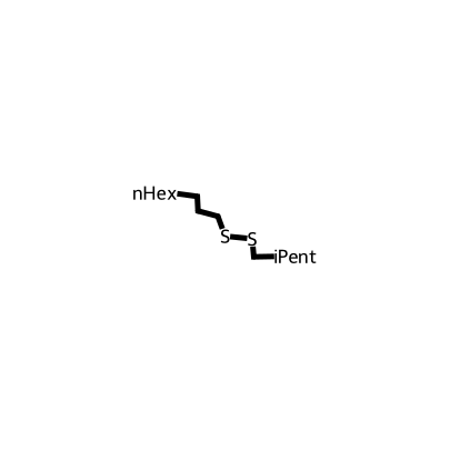 CCCCCCCCCSSCC(C)CCC